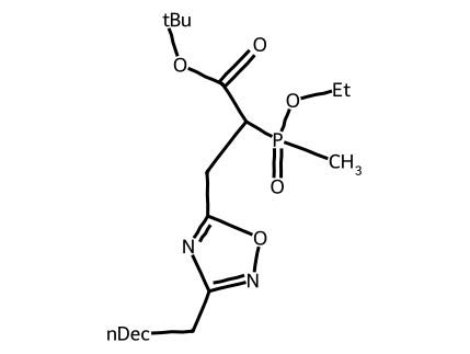 CCCCCCCCCCCc1noc(CC(C(=O)OC(C)(C)C)P(C)(=O)OCC)n1